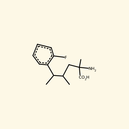 CC(CC(C)(N)C(=O)O)C(C)c1ccccc1F